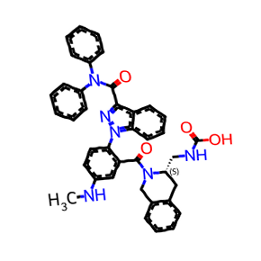 CNc1ccc(-n2nc(C(=O)N(c3ccccc3)c3ccccc3)c3ccccc32)c(C(=O)N2Cc3ccccc3C[C@H]2CNC(=O)O)c1